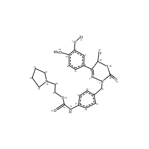 CCOc1cc(C2=NN(Cc3ccc(NC(=O)OCCN4CCCC4)cc3)C(=O)SC2CC)ccc1OC